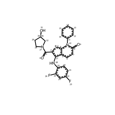 O=C(c1sc2c(ccc(=O)n2-c2ccccc2)c1Nc1ccc(F)cc1F)N1CC[C@@H](O)C1